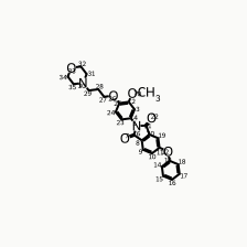 COc1cc(N2C(=O)c3ccc(Oc4ccccc4)cc3C2=O)ccc1OCCCN1CCOCC1